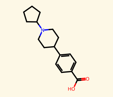 O=C(O)c1ccc(C2CCN(C3CCCC3)CC2)cc1